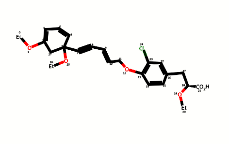 CCOC1=CC=CC(C#C/C=C/COc2ccc(C[C@H](OCC)C(=O)O)cc2Cl)(OCC)C1